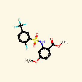 COC(=O)c1ccc(OC)cc1NS(=O)(=O)c1cc(C(F)(F)F)ccc1F